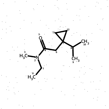 CCN(C)C(=O)CC1(C(C)C)CC1